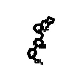 CC1=CCCN1CC1CCCN(CC2=CN=C(c3cccc(C)c3)NC2)C1